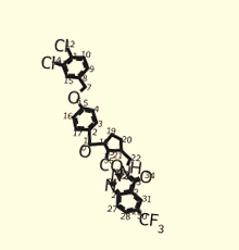 O=C(c1ccc(OCc2ccc(Cl)c(Cl)c2)cc1)C1CCC(Cn2nnc3ccc(C(F)(F)F)cc3c2=O)C1C(=O)O